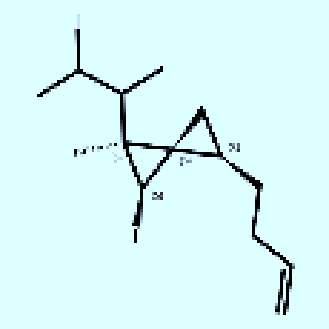 C=CCC[C@@H]1C[C@]12[C@@H](I)[C@@]2(C)C(C)C(C)I